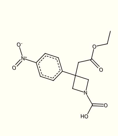 CCOC(=O)CC1(c2ccc([N+](=O)[O-])cc2)CN(C(=O)O)C1